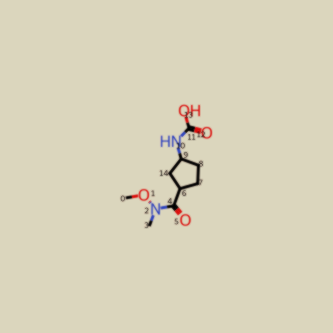 CON(C)C(=O)C1CCC(NC(=O)O)C1